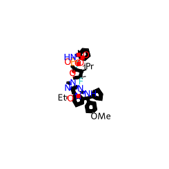 CCOc1nc(NC(c2ccccc2)(c2ccccc2)c2ccc(OC)cc2)nc2c1ncn2[C@@H]1O[C@](F)(CP(=O)(N[C@@H](C)C(=O)OC(C)C)Oc2ccccc2)[C@@H](C)[C@@]1(C)F